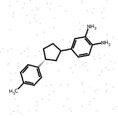 Cc1ccc([C@@H]2CCC(c3ccc(N)c(N)c3)C2)cc1